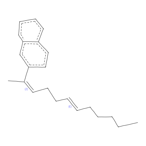 CCCCC/C=C/CC/C=C(/C)c1ccc2ccccc2c1